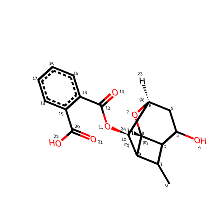 CC1C2C(O)C[C@@H]3O[C@H]2C1[C@H]3OC(=O)c1ccccc1C(=O)O